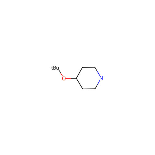 CC(C)(C)OC1CC[N]CC1